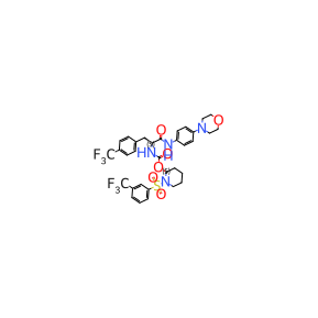 O=C(N[C@@H](Cc1ccc(C(F)(F)F)cc1)C(=O)Nc1ccc(N2CCOCC2)cc1)O[C@H]1CCCCN1S(=O)(=O)c1cccc(C(F)(F)F)c1